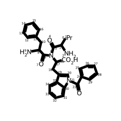 CC(C)C(N)C(=O)N(C(=O)C(N)Cc1ccccc1)C(Cc1cn(C(=O)c2ccccc2)c2ccccc12)C(=O)O